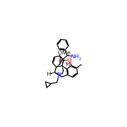 CO[C@]12C=C[C@@]3(C[C@@H]1C(N)c1ccccc1)[C@H]1Cc4ccc(C)c5c4[C@@]3(CCN1CC1CC1)[C@H]2O5